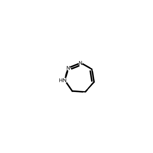 C1=CN=NNCC1